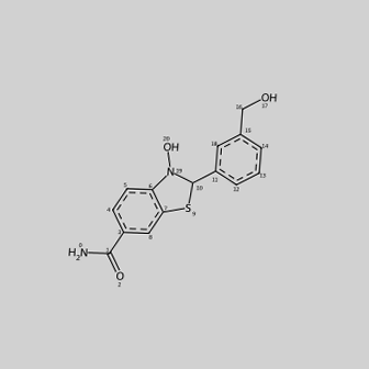 NC(=O)c1ccc2c(c1)SC(c1cccc(CO)c1)N2O